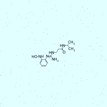 CC(C)NC(=O)CCN/C(N)=N/c1ccccc1NO